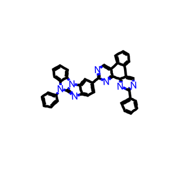 c1ccc(-c2ncc3c4ccccc4c4cnc(-c5ccc6nc7n(-c8ccccc8)c8ccccc8n7c6c5)nc4c3n2)cc1